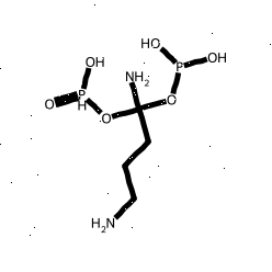 NCCCC(N)(OP(O)O)O[PH](=O)O